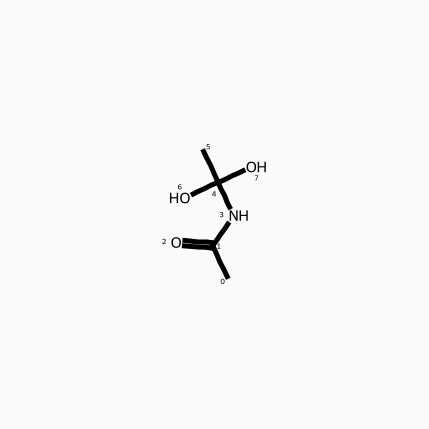 CC(=O)NC(C)(O)O